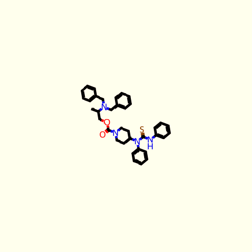 CC(COC(=O)N1CCC(N(C(=S)Nc2ccccc2)c2ccccc2)CC1)N(Cc1ccccc1)Cc1ccccc1